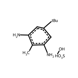 Cc1c(N)cc(C(C)(C)C)cc1N.O=S(=O)(O)O